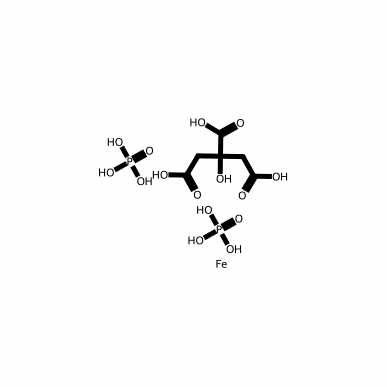 O=C(O)CC(O)(CC(=O)O)C(=O)O.O=P(O)(O)O.O=P(O)(O)O.[Fe]